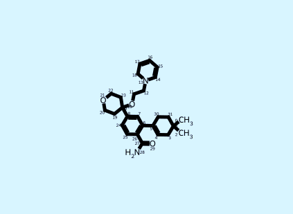 CC1(C)CC=C(c2cc(C3(OCCN4C=CC=CC4)CCOCC3)ccc2C(N)=O)CC1